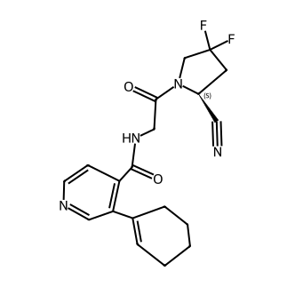 N#C[C@@H]1CC(F)(F)CN1C(=O)CNC(=O)c1ccncc1C1=CCCCC1